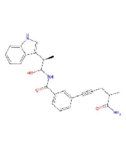 CC(CC#Cc1cccc(C(=O)NC(O)[C@H](C)c2c[nH]c3ccccc23)c1)C(N)=O